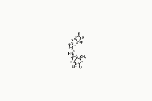 CCN1C(=O)CN(C)c2cc(NCc3cnn(Cc4cc(F)c(F)c(F)c4)c3)ncc21